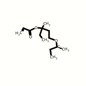 C=CC(=O)OC(C)(CC)CCO[C@@H](C)CC